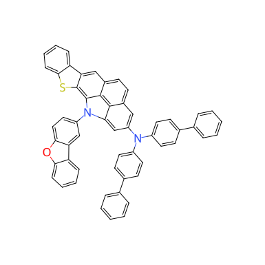 c1ccc(-c2ccc(N(c3ccc(-c4ccccc4)cc3)c3cc4ccc5cc6c7ccccc7sc6c6c5c4c(c3)n6-c3ccc4oc5ccccc5c4c3)cc2)cc1